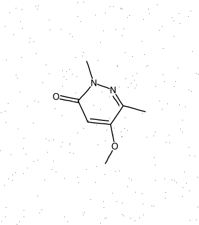 COc1cc(=O)n(C)nc1C